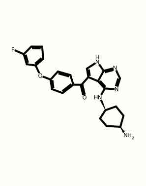 N[C@H]1CC[C@@H](Nc2ncnc3[nH]cc(C(=O)c4ccc(Oc5cccc(F)c5)cc4)c23)CC1